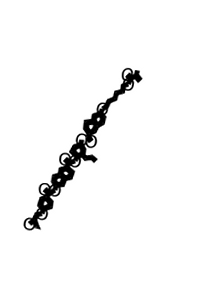 C=C(C)C(=O)OCCCCCCOc1ccc2cc(C(=O)Oc3ccc(OC(=O)c4ccc5cc(OC(=O)c6ccc(OCC7CO7)cc6)ccc5c4)c(CCC)c3)ccc2c1